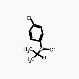 CCC(C)(C)[S+]([O-])c1ccc(Cl)cc1